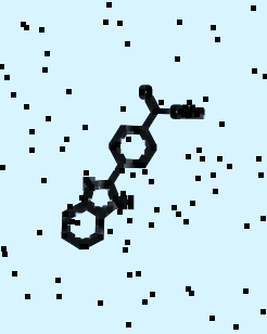 COC(=O)c1ccc(-c2nc3ccccc3[nH]2)cc1